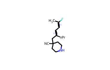 CCC/C(=C\C=C(/C)F)CC1(C#N)CCNCC1